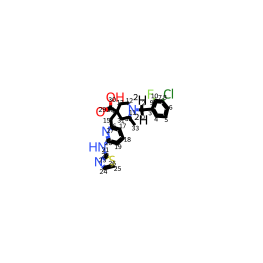 [2H]C([2H])(c1cccc(Cl)c1F)N1CCC(Cc2cccc(Nc3nccs3)n2)(C(=O)O)CC1C